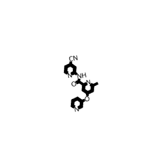 Cc1cc(Oc2cccnc2)cc(C(=O)Nc2cc(C#N)ccn2)n1